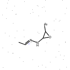 C/C=N/NC1OC1C(C)C